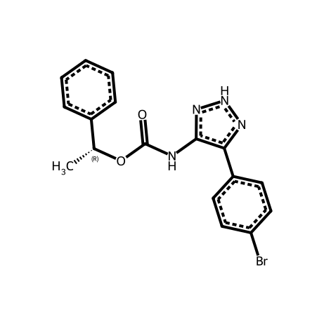 C[C@@H](OC(=O)Nc1n[nH]nc1-c1ccc(Br)cc1)c1ccccc1